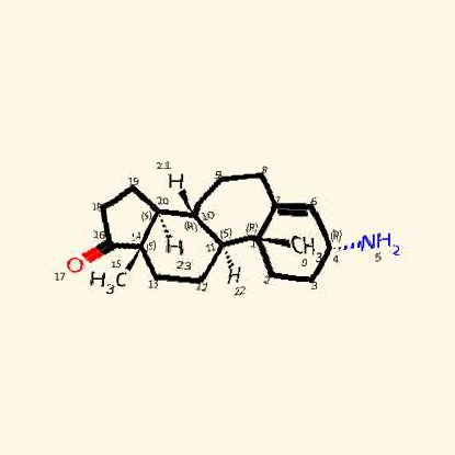 C[C@]12CC[C@@H](N)C=C1CC[C@@H]1[C@@H]2CC[C@]2(C)C(=O)CC[C@@H]12